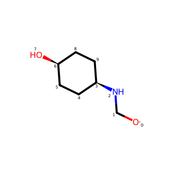 [O]CN[C@H]1CC[C@@H](O)CC1